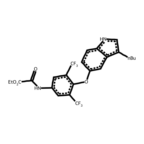 CCCCc1c[nH]c2ccc(Oc3c(C(F)(F)F)cc(NC(=O)C(=O)OCC)cc3C(F)(F)F)cc12